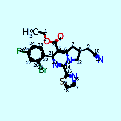 CCOC(=O)C1=C2C[C@@H](CC#N)CN2C(c2nccs2)=N[C@H]1c1ccc(F)cc1Br